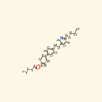 CCCCCOc1ccc(-c2ccc(CCc3ccc(CCCCC)nc3)cc2)cc1